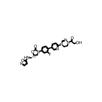 O=C(CO)N1CCN(c2ccc(-c3ccc(N4C[C@H](CNc5ccno5)OC4=O)cc3F)cn2)C=N1